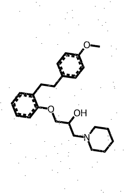 COc1ccc(CCc2ccccc2OCC(O)CN2CCCCC2)cc1